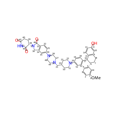 COc1cccc([C@H]2CCc3cc(O)ccc3C2c2ccc(N3CCC(CN4CCN(c5ccc6c(c5)CN([C@H]5CCC(=O)NC5=O)C6=O)CC4)CC3)cc2)c1